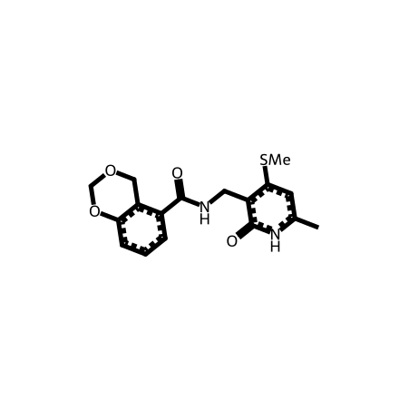 CSc1cc(C)[nH]c(=O)c1CNC(=O)c1cccc2c1COCO2